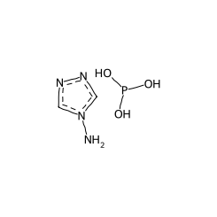 Nn1cnnc1.OP(O)O